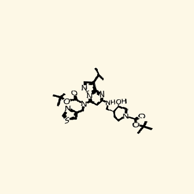 CC(C)c1cnn2c(N(Cc3cscn3)C(=O)OC(C)(C)C)cc(NC[C@@H]3CCN(C(=O)OC(C)(C)C)C[C@@H]3O)nc12